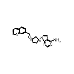 Nc1ncnc2c1ccn2[C@H]1CC[C@@H](OCc2ccc3cccnc3c2)C1